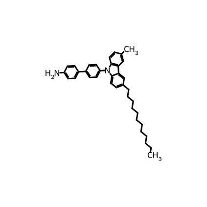 CCCCCCCCCCCCc1ccc2c(c1)c1cc(C)ccc1n2-c1ccc(-c2ccc(N)cc2)cc1